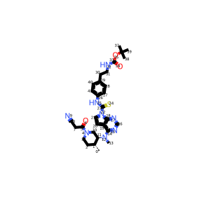 C[C@@H]1CCN(C(=O)CC#N)C[C@@H]1N(C)c1ncnc2c1ccn2C(=S)Nc1ccc(CCNC(=O)OC(C)(C)C)cc1